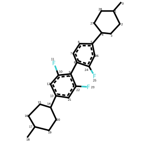 CC1CCC(c2ccc(-c3c(F)cc(C4CCC(C)CC4)cc3F)c(F)c2)CC1